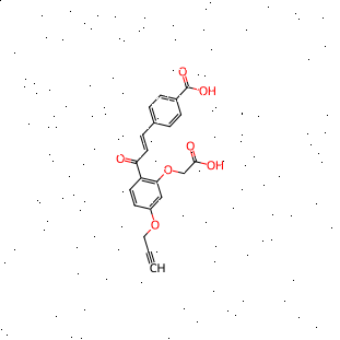 C#CCOc1ccc(C(=O)/C=C/c2ccc(C(=O)O)cc2)c(OCC(=O)O)c1